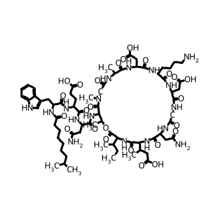 CCC(C)C1NC(=O)C(C(C)CC(=O)O)NC(=O)C(CC(N)=O)NC(=O)CNC(=O)C(CC(=O)O)NC(=O)C(CCCCN)NC(=O)C(CC(=O)O)NC(=O)C(C)NC(=O)CN(C)C(=O)C(NC(=O)C(CC(N)=O)NC(=O)C(CCC(=O)O)NC(=O)C(Cc2c[nH]c3ccccc23)NC(=O)CCCCCCC(C)C)C(C)OC1=O